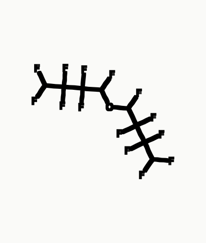 FC(F)C(F)(F)C(F)(F)C(F)OC(F)C(F)(F)C(F)(F)C(F)F